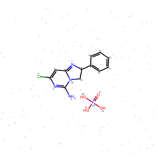 NC1=NC(Cl)=CC2=NC(c3ccccc3)CN12.O=P(O)(O)O